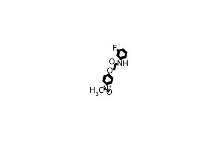 C[N+](=O)c1ccc(OCC(=O)Nc2cccc(F)c2)cc1